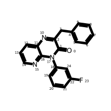 O=c1c(Cc2ccccc2)nc2cccnc2n1-c1cccc(F)c1